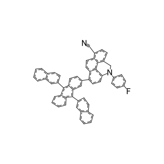 N#Cc1ccc2c3c1ccc1c(-c4ccc5c(-c6ccc7ccccc7c6)c6ccccc6c(-c6ccc7ccccc7c6)c5c4)ccc(c13)N(c1ccc(F)cc1)C2